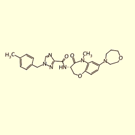 Cc1ccc(Cn2cnc(C(=O)N[C@H]3COc4ccc(N5CCCOCC5)cc4N(C)C3=O)n2)cc1